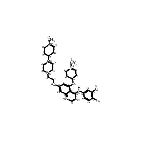 CN1CCC(Oc2cc(OCCN3CCN(C4CCN(C)CC4)CC3)cc3ncnc(Nc4ccc(F)c(Cl)c4)c23)CC1